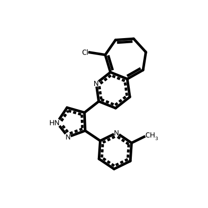 Cc1cccc(-c2n[nH]cc2-c2ccc3c(n2)=C(Cl)C=CCC=3)n1